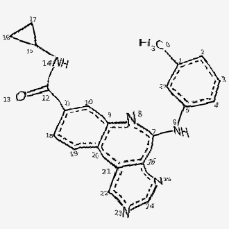 Cc1cccc(Nc2nc3cc(C(=O)NC4CC4)ccc3c3cncnc23)c1